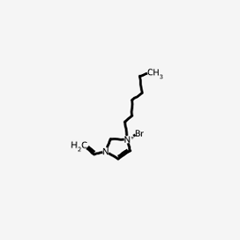 C=CN1C=C[N+](Br)(CCCCCC)C1